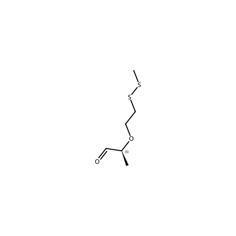 CSSCCO[C@@H](C)C=O